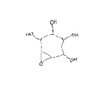 OC1C(O)C(O)C2OC2C1O